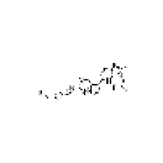 Cc1nc2ccc(-c3ccn4nc(/N=C/C5CC(CO)C5)ncc34)nc2n1CC(F)F